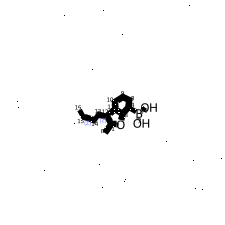 C=c1oc2c(B(O)O)cccc2/c1=C/C=C\C